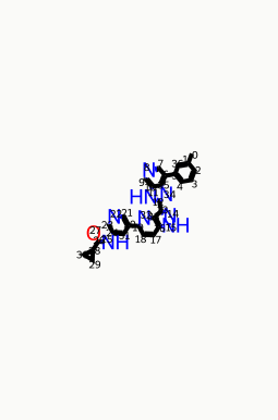 Cc1cccc(-c2cncc3[nH]c(-c4n[nH]c5ccc(-c6cncc(NC(=O)C7CC7)c6)nc45)nc23)c1